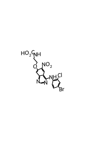 O=C(O)NCCOc1cc2ncnc(Nc3ccc(Br)cc3Cl)c2cc1[N+](=O)[O-]